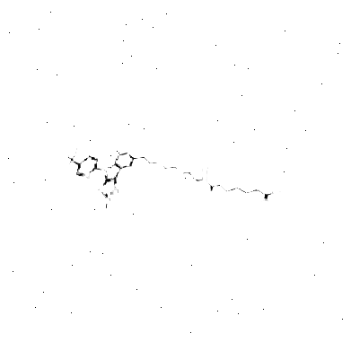 Cn1nc2c3cc(CCOCCOCCNC(=O)CCCCCC(=O)O)ccc3n(-c3ccc(C(F)(F)F)cn3)c2n1